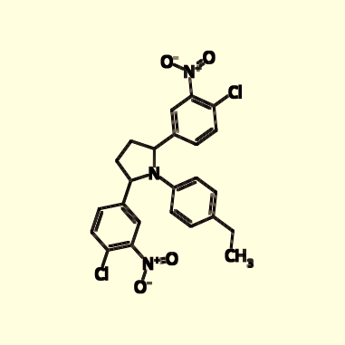 CCc1ccc(N2C(c3ccc(Cl)c([N+](=O)[O-])c3)CCC2c2ccc(Cl)c([N+](=O)[O-])c2)cc1